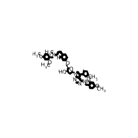 COc1ccc(CNc2ncnc3c2c(C2CCCC2)cn3[C@H]2C[C@H](O)[C@@H](COc3ccc4ccc(N(C)Cc5ccc(OC)cc5OC)nc4c3)O2)c(OC)c1